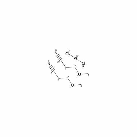 COCCC#N.COCCC#N.[Cl][Pt][Cl]